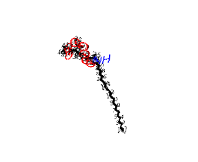 CCC=CCC=CCC=CCC=CCC=CCC=CCCC(=O)NC(C)C(=O)O[C@H](C)[C@@H](C(=O)OC)C(=O)OC(C)(C)C